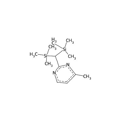 Cc1ccnc(C([Si](C)(C)C)[Si](C)(C)C)n1